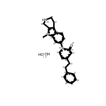 Cl.Cl.Cn1c2c(c3ccc(-n4ccc(CCc5ccccc5)cc4=O)cc31)CCNC2